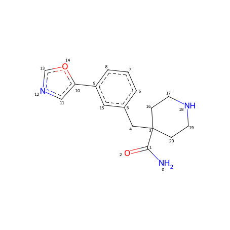 NC(=O)C1(Cc2cccc(-c3cnco3)c2)CCNCC1